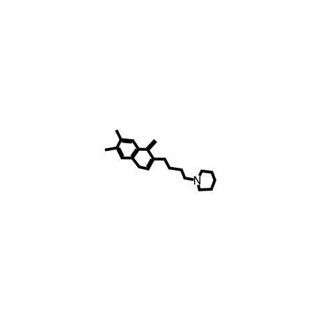 C=C1C(CCCCN2CCCCC2)=CCc2cc(C)c(C)cc21